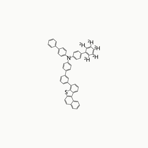 [2H]c1c([2H])c([2H])c(-c2ccc(N(c3ccc(-c4ccccc4)cc3)c3ccc(-c4cccc(-c5cccc6c5sc5ccc7ccccc7c56)c4)cc3)cc2)c([2H])c1[2H]